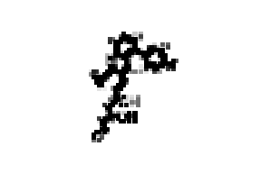 O=CC[C@H](O)C[C@H](O)/C=C/c1cc2c(-c3ccc(F)cc3)cccc2nc1C1CC1